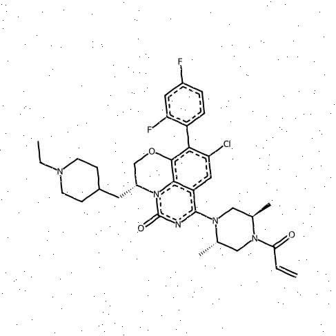 C=CC(=O)N1C[C@H](C)N(c2nc(=O)n3c4c(c(-c5ccc(F)cc5F)c(Cl)cc24)OC[C@H]3CC2CCN(CC)CC2)C[C@H]1C